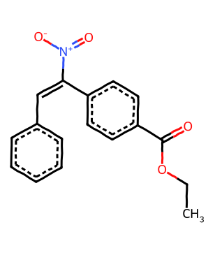 CCOC(=O)c1ccc(/C(=C\c2ccccc2)[N+](=O)[O-])cc1